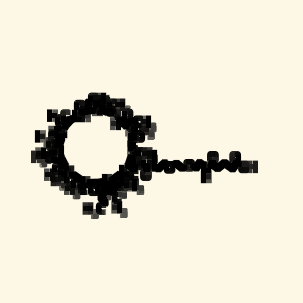 C/C=C/CC(C)C(O)C1C(=O)NC(C(C)OC(=O)NCCOCCOCCNC(=O)CCCC(=O)O)C(=O)N(C)CC(=O)N(C)C(CC)C(=O)NC(C)C(=O)N(C)C(CC)C(=O)NC(C)C(=O)NC(C)C(=O)N(C)C(CC)C(=O)N(C)C(C)C(=O)N(C)C(C)C(=O)N1C